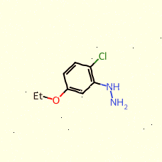 CCOc1ccc(Cl)c(NN)c1